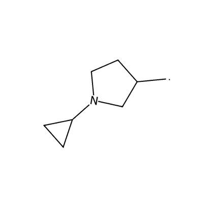 [CH2]C1CCN(C2CC2)C1